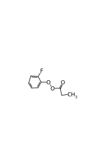 CCC(=O)OOc1ccccc1F